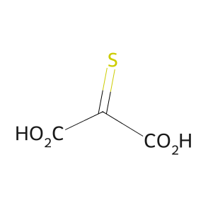 O=C(O)C(=S)C(=O)O